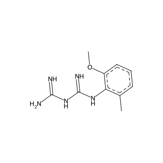 COc1cccc(C)c1NC(=N)NC(=N)N